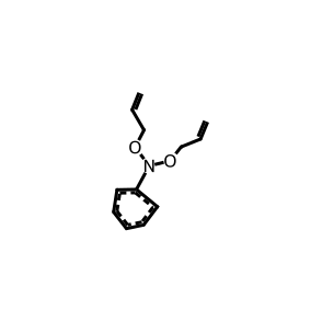 C=CCON(OCC=C)c1ccccc1